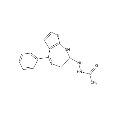 CC(=O)NNC1CN=C(c2ccccc2)c2ccsc2N1